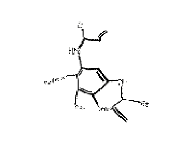 C=CC(CC)Nc1cc(NC(C=C)CC)c(CCCCCC)c(CCCCCC)c1CCCCCC